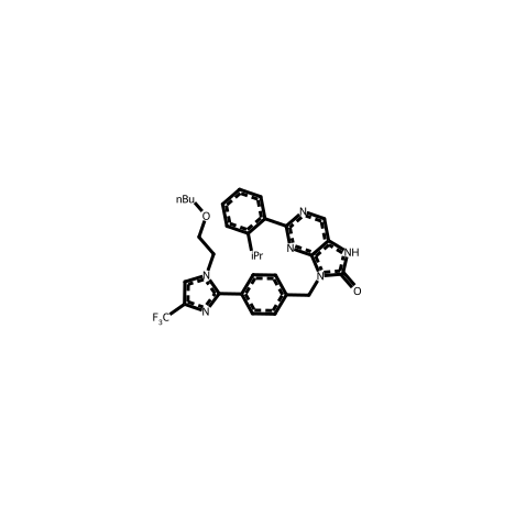 CCCCOCCn1cc(C(F)(F)F)nc1-c1ccc(Cn2c(=O)[nH]c3cnc(-c4ccccc4C(C)C)nc32)cc1